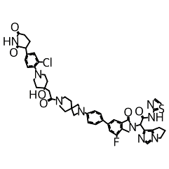 O=C1CCC(c2ccc(N3CCC(O)(CC(=O)N4CCC5(CC4)CN(c4ccc(-c6cc(F)c7c(c6)C(=O)N(C(C(=O)Nc6nccs6)c6ncn8c6CCC8)C7)cc4)C5)CC3)c(Cl)c2)C(=O)N1